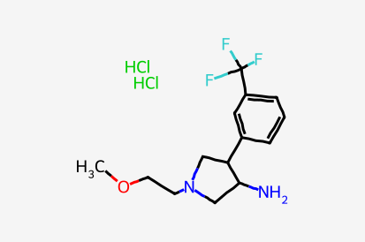 COCCN1CC(N)C(c2cccc(C(F)(F)F)c2)C1.Cl.Cl